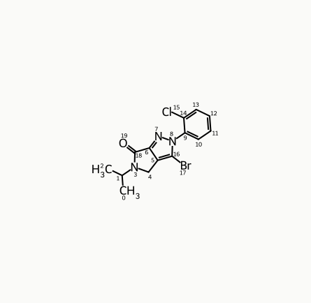 CC(C)N1Cc2c(nn(-c3ccccc3Cl)c2Br)C1=O